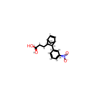 O=C(O)CCC1C2C=CC(C2)C1c1cccc([N+](=O)[O-])c1